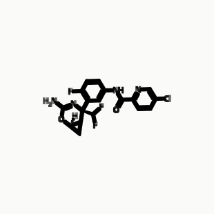 NC1=N[C@@](c2cc(NC(=O)c3ccc(Cl)cn3)ccc2F)(C(F)F)C2C[C@H]2O1